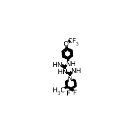 CC1CN(C(=N)NC(=N)Nc2ccc(OC(F)(F)F)cc2)CCC1(F)F